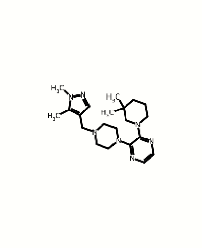 Cc1c(CN2CCN(c3nccnc3N3CCCC(C)(C)C3)CC2)cnn1C